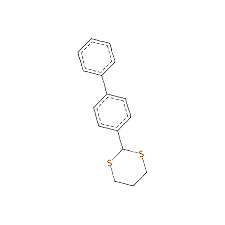 c1ccc(-c2ccc(C3SCCCS3)cc2)cc1